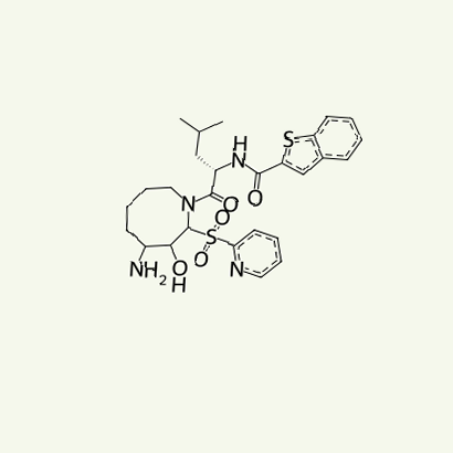 CC(C)C[C@H](NC(=O)c1cc2ccccc2s1)C(=O)N1CCCCC(N)C(O)C1S(=O)(=O)c1ccccn1